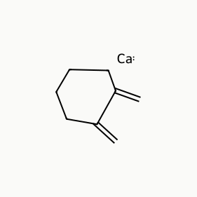 C=C1CCCCC1=C.[Ca]